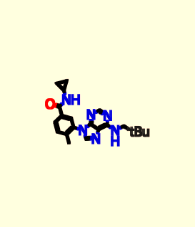 Cc1ccc(C(=O)NC2CC2)cc1-n1cnc2c(NCC(C)(C)C)ncnc21